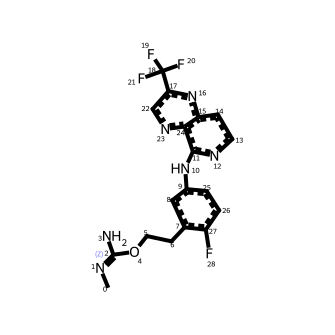 C/N=C(/N)OCCc1cc(Nc2nccc3nc(C(F)(F)F)cnc23)ccc1F